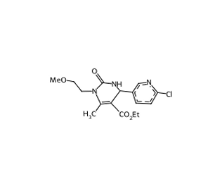 CCOC(=O)C1=C(C)N(CCOC)C(=O)NC1c1ccc(Cl)nc1